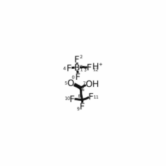 F[B-](F)(F)F.O=C(O)C(F)(F)F.[H+]